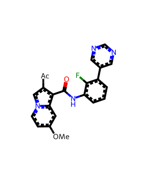 COc1ccn2cc(C(C)=O)c(C(=O)Nc3cccc(-c4cncnc4)c3F)c2c1